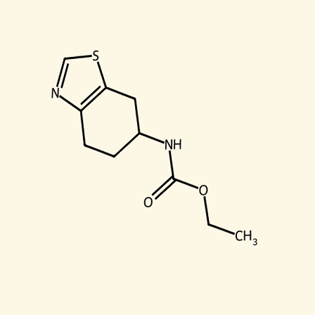 CCOC(=O)NC1CCc2ncsc2C1